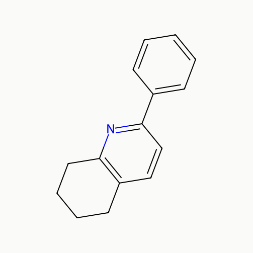 c1ccc(-c2ccc3c(n2)CCCC3)cc1